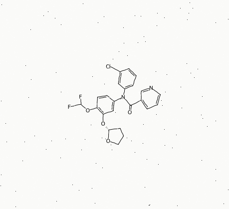 O=C(c1cccnc1)N(c1cccc(Cl)c1)c1ccc(OC(F)F)c(O[C@@H]2CCCO2)c1